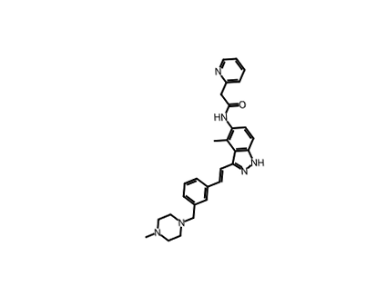 Cc1c(NC(=O)Cc2ccccn2)ccc2[nH]nc(C=Cc3cccc(CN4CCN(C)CC4)c3)c12